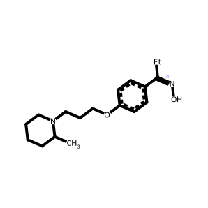 CC/C(=N/O)c1ccc(OCCCN2CCCCC2C)cc1